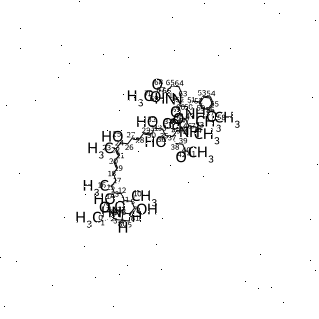 CC[C@H]1C[C@@H]2C[C@H]3[C@@H](O)[C@@H](C)[C@H](C[C@H](O)[C@@H](C)CC/C=C/C=C(\C)[C@@H](O)C/C=C/C=C/[C@@H](O)[C@H](C)[C@@H](O)[C@@H](CCC(C)=O)C(=O)N[C@H](C(=O)N[C@@H](Cc4cccc(OC)c4)C(=O)N4CCC[C@@H](C(=O)OC)N4)C(C)C)O[C@]23NC1=O